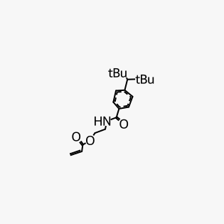 C=CC(=O)OCCNC(=O)c1ccc(C(C(C)(C)C)C(C)(C)C)cc1